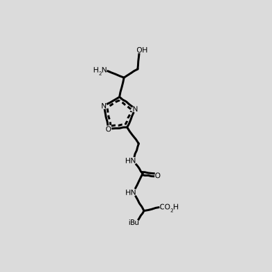 CCC(C)C(NC(=O)NCc1nc(C(N)CO)no1)C(=O)O